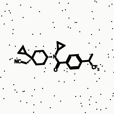 C[C@H](c1ccc(C(=O)N(C2CC2)[C@H]2CC[C@](CC#N)(C3CC3)CC2)cc1)C(F)(F)F